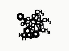 COc1ccc2c3c1O[C@@H]1C(OC(=O)[C@@H](OC(=O)[C@H](OC(C)=O)[C@@H](OC(C)=O)C(=O)O)c4ccccc4)=CC[C@]4(O)[C@@H](CCC[C@@]314)C2